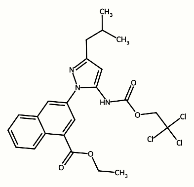 CCOC(=O)c1cc(-n2nc(CC(C)C)cc2NC(=O)OCC(Cl)(Cl)Cl)cc2ccccc12